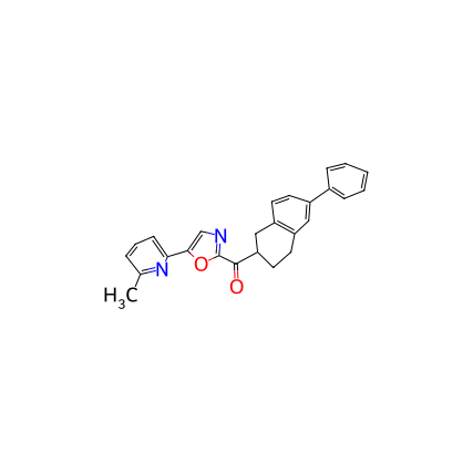 Cc1cccc(-c2cnc(C(=O)C3CCc4cc(-c5ccccc5)ccc4C3)o2)n1